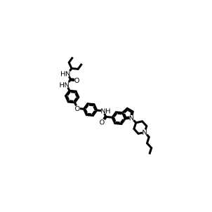 CCCCN1CCC(n2ccc3cc(C(=O)Nc4ccc(Oc5ccc(NC(=O)NC(CC)CC)cc5)cc4)ccc32)CC1